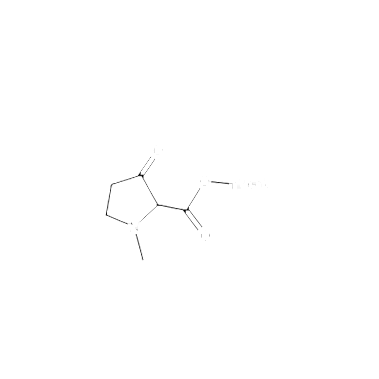 CCCCCOC(=O)C1C(=O)CCN1C